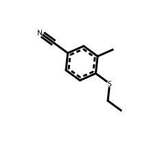 CCSc1ccc(C#N)cc1C